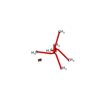 CCCCCCCCCCCCCCCCCCCCCCCCCC#Cc1cc(C#CCCCCCCCCCCCCCCCCCCCCCCCCC)cc(C2=C(CCCC)C(CCCCCCCC)=C(c3cc(C#CCCCCCCCCCCCCCCCCCCCCCCCCC)cc(C#CCCCCCCCCCCCCCCCCCCCCCCCCC)c3)[N+]2=[N-])c1.[H-].[H-].[Ni]